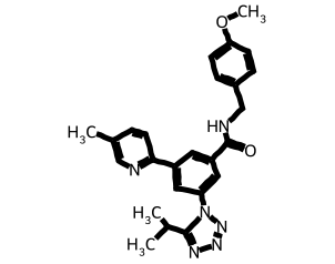 COc1ccc(CNC(=O)c2cc(-c3ccc(C)cn3)cc(-n3nnnc3C(C)C)c2)cc1